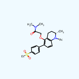 CCS(=O)(=O)c1ccc(-c2ccc3c(c2OCC(=O)N(C)C)CC[C@H](C)N3C(C)=O)cc1